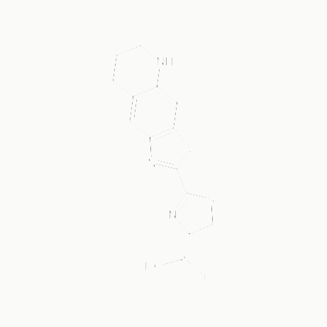 O=C(O)[C@H]1CSC(c2nc3cc4c(cc3s2)NCCC4)=N1